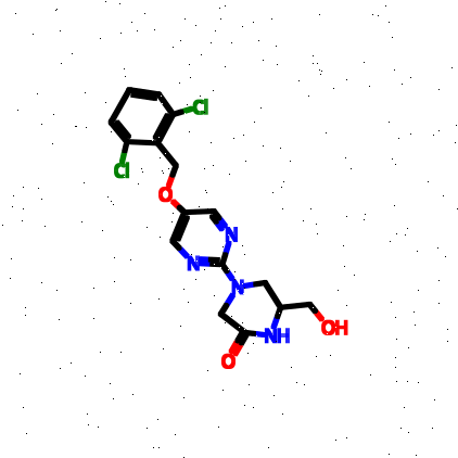 O=C1CN(c2ncc(OCc3c(Cl)cccc3Cl)cn2)CC(CO)N1